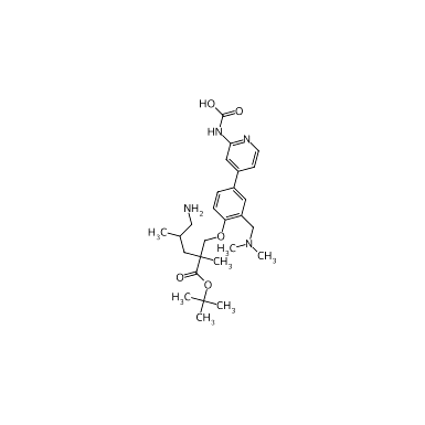 CC(CN)CC(C)(COc1ccc(-c2ccnc(NC(=O)O)c2)cc1CN(C)C)C(=O)OC(C)(C)C